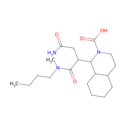 CCCCN(C)C(=O)C(CC(N)=O)C1C2CCCCC2CCN1C(=O)O